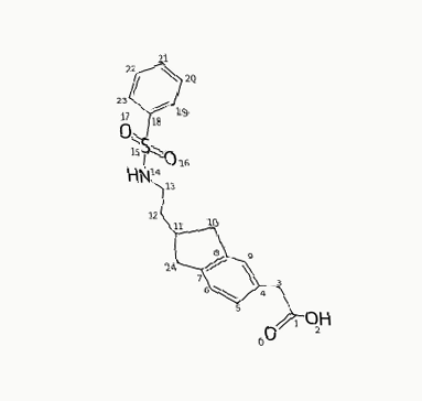 O=C(O)Cc1ccc2c(c1)CC(CCNS(=O)(=O)c1ccccc1)C2